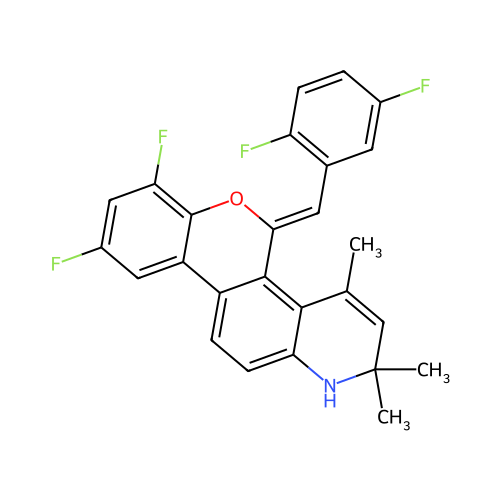 CC1=CC(C)(C)Nc2ccc3c(c21)C(=Cc1cc(F)ccc1F)Oc1c(F)cc(F)cc1-3